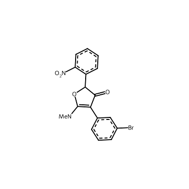 CNC1=C(c2cccc(Br)c2)C(=O)C(c2ccccc2[N+](=O)[O-])O1